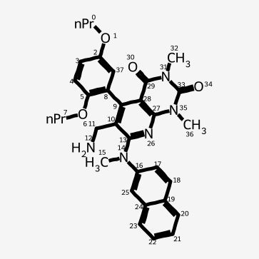 CCCOc1ccc(OCCC)c(-c2c(CN)c(N(C)c3ccc4ccccc4c3)nc3c2c(=O)n(C)c(=O)n3C)c1